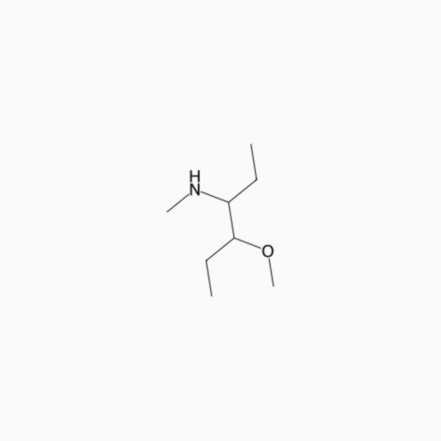 CCC(NC)C(CC)OC